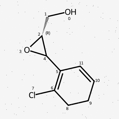 OC[C@H]1OC1C1=C(Cl)CCC=C1